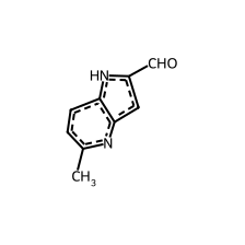 Cc1ccc2[nH]c(C=O)cc2n1